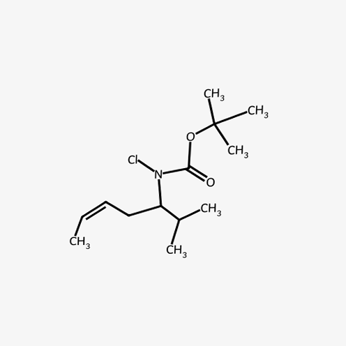 C/C=C\CC(C(C)C)N(Cl)C(=O)OC(C)(C)C